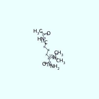 CC(=O)N[13CH2]CCCC(C([15NH2])=O)[15N](C)C